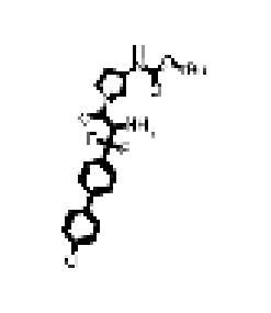 CC(C)(C)OC(=O)N[C@@H]1CCN(C(=O)C(N)C(F)(F)c2ccc(-c3ccc(Cl)cc3)cc2)C1